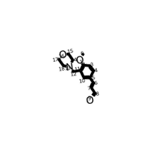 COc1ccc(C=CC=O)cc1CN1CCOCC1